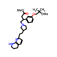 COC(=O)CC(CN1CCC(CCc2ccc3c(n2)NCCC3)C1)c1cccc(OCC(C)(C)OC)c1